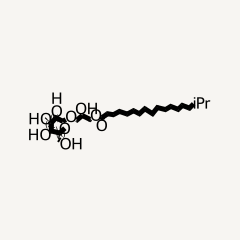 CC(C)CCCCCCCCCCCCCCC(=O)OCC(O)COC1O[C@H](CO)[C@@H](O)[C@H](O)[C@H]1O